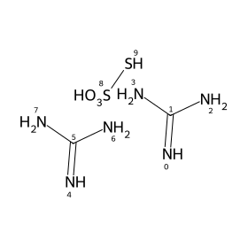 N=C(N)N.N=C(N)N.O=S(=O)(O)S